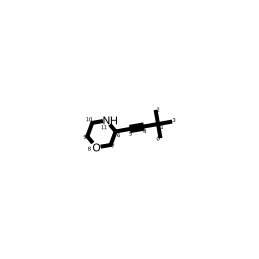 CC(C)(C)C#CC1COCCN1